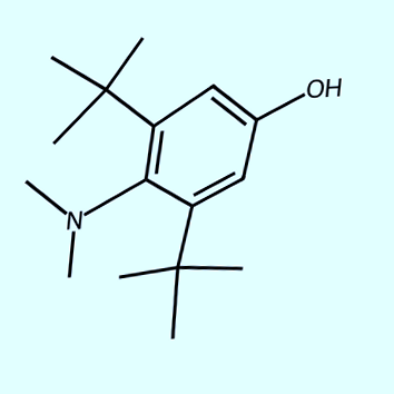 CN(C)c1c(C(C)(C)C)cc(O)cc1C(C)(C)C